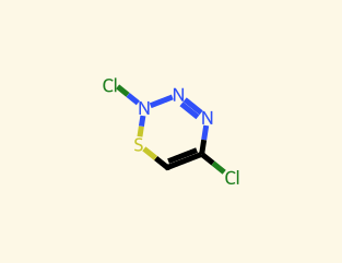 ClC1=CSN(Cl)N=N1